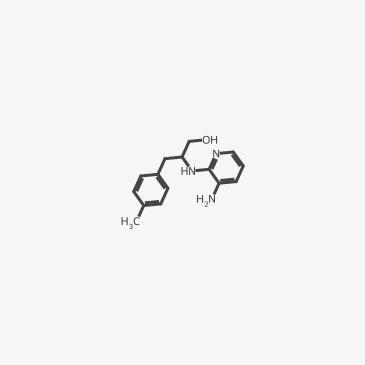 Cc1ccc(CC(CO)Nc2ncccc2N)cc1